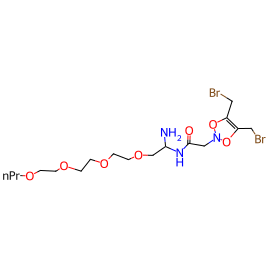 CCCOCCOCCOCCOCC(N)NC(=O)CN1OC(CBr)=C(CBr)O1